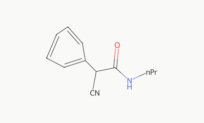 [CH2]CCNC(=O)C(C#N)c1ccccc1